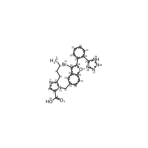 CCCCc1ncc(C(=O)O)n1Cc1ccc2oc(-c3ccccc3-c3nnn[nH]3)c(Br)c2c1